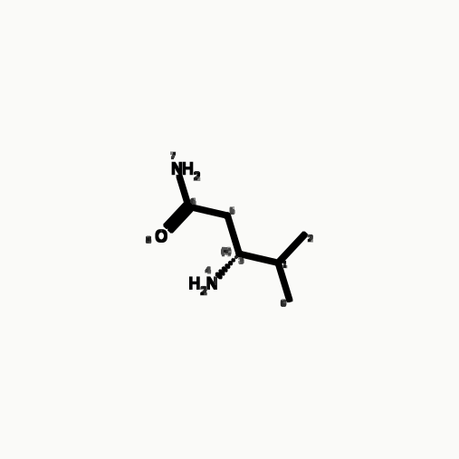 CC(C)[C@H](N)CC(N)=O